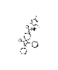 Cc1cc(C)c(NC(=O)N2CCC3(CC2)C(=O)N(c2ccccc2)C3c2ccccc2)c(C)c1